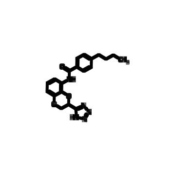 CCCCc1ccc(C(=O)Nc2cccc3c2OC(c2nnn[nH]2)CO3)cc1